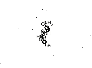 CCCc1ccc(S(=O)(=O)NC(C)(C)C(=O)NC2C3CC4CC2CC(C(N)=O)(C4)C3)cc1